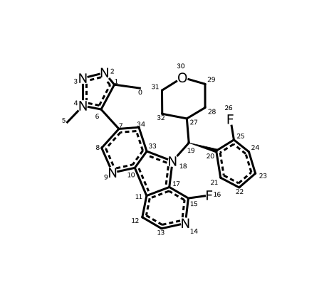 Cc1nnn(C)c1-c1cnc2c3ccnc(F)c3n([C@H](c3ccccc3F)C3CCOCC3)c2c1